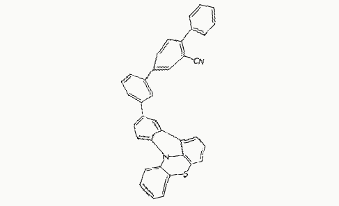 N#Cc1cc(-c2cccc(-c3ccc4c(c3)c3cccc5c3n4-c3ccccc3S5)c2)ccc1-c1ccccc1